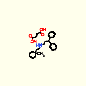 CC1(CCNCCC(c2ccccc2)c2ccccc2)C=CC=CC1.O=C(O)C=CC(=O)O